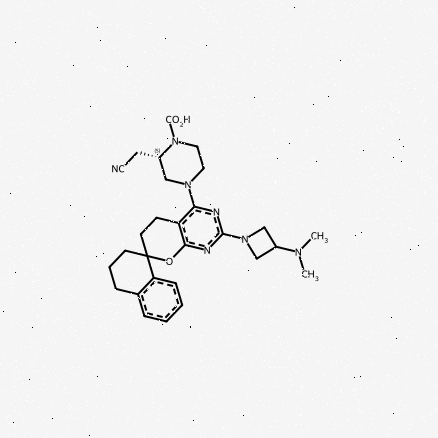 CN(C)C1CN(c2nc3c(c(N4CCN(C(=O)O)[C@@H](CC#N)C4)n2)CCC2(CCCc4ccccc42)O3)C1